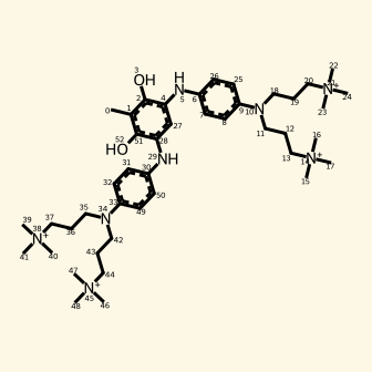 Cc1c(O)c(Nc2ccc(N(CCC[N+](C)(C)C)CCC[N+](C)(C)C)cc2)cc(Nc2ccc(N(CCC[N+](C)(C)C)CCC[N+](C)(C)C)cc2)c1O